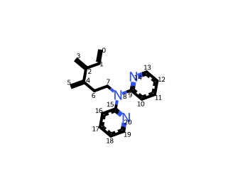 C=CC(=C)C(=C)CCN(c1ccccn1)c1ccccn1